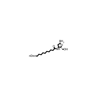 B[C@H]1CC(NC(=O)CCCCCCCCCCCCCCCCCCC)[C@@H](CO)O1